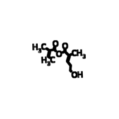 CC=C(C)C(=O)OC(=O)C(C)=CCCO